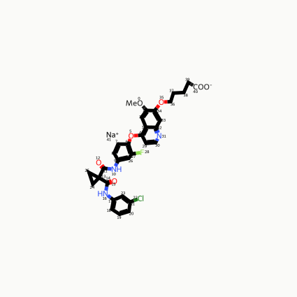 COc1cc2c(Oc3ccc(NC(=O)C4(C(=O)Nc5cccc(Cl)c5)CC4)cc3F)ccnc2cc1OCCCCC(=O)[O-].[Na+]